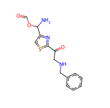 NC(OC=O)c1csc(C(=O)CNCc2ccccc2)n1